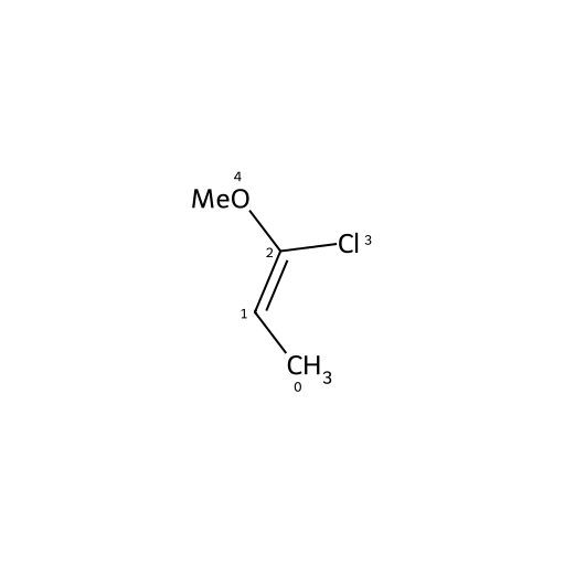 CC=C(Cl)OC